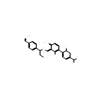 C=Cc1ccc(C(CC(C)C)N/C=C2\C(=N)C=CC(C3=CC=C(C(F)F)CC3F)=C2Cl)cc1